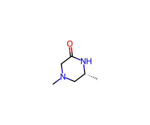 C[C@@H]1CN(C)CC(=O)N1